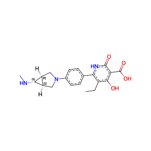 CCc1c(-c2ccc(N3C[C@@H]4[C@H](C3)[C@H]4NC)cc2)[nH]c(=O)c(C(=O)O)c1O